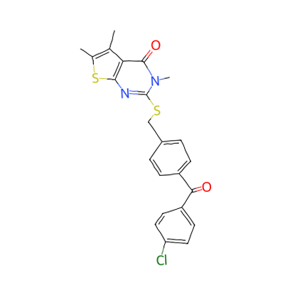 Cc1sc2nc(SCc3ccc(C(=O)c4ccc(Cl)cc4)cc3)n(C)c(=O)c2c1C